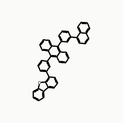 c1cc(-c2cccc3ccccc23)cc(-c2c3ccccc3c(-c3cccc(-c4cccc5c4oc4ccccc45)c3)c3ccccc23)c1